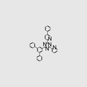 c1ccc(-c2ccc(-c3nc(-c4cc(-c5ccccc5)cc(-c5ccccc5)c4)nc(-c4ccccn4)n3)nc2)cc1